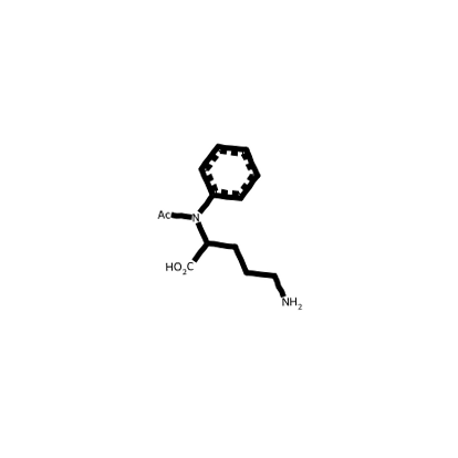 CC(=O)N(c1ccccc1)C(CCCN)C(=O)O